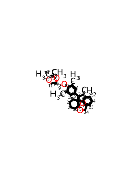 [CH2]CC(c1cc(C)c(OC[C@@H]2COC(C)(C)O2)c(C)c1)C1(c2ccccc2)CCCCC12OCCO2